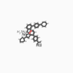 CC1=Cc2c(-c3ccc(C4CCCCC4)cc3)cccc2[CH]1[Zr]([CH3])([CH3])(=[SiH2])[CH]1C(C2CCCCC2)=Cc2c(-c3ccc(C(C)C)cc3)cccc21.Cl.Cl